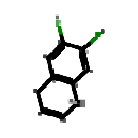 Fc1cc2c(cc1F)CC=CB2